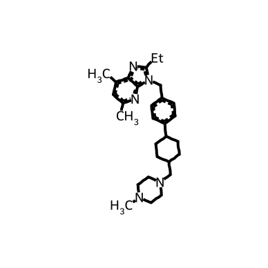 CCc1nc2c(C)cc(C)nc2n1Cc1ccc(C2CCC(CN3CCN(C)CC3)CC2)cc1